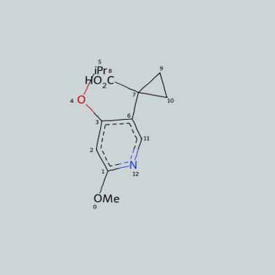 COc1cc(OC(C)C)c(C2(C(=O)O)CC2)cn1